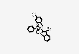 O=S(=O)(c1ccccc1)N(Cc1ccc(Cl)cc1)c1sc2ccccc2c1Br